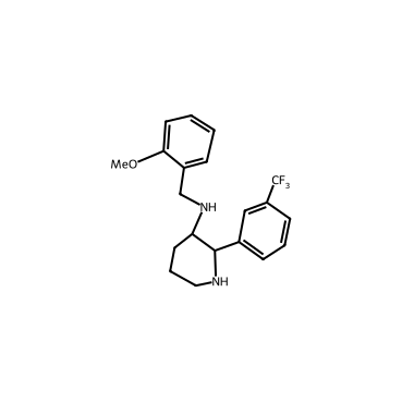 COc1ccccc1CNC1CCCNC1c1cccc(C(F)(F)F)c1